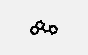 c1cnc(Sc2nncc3ccccc23)nc1